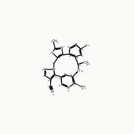 Cc1nc2c(s1)Cn1ncc(C#N)c1-c1cnc(N)c(c1)OC(C)c1cc(F)ccc1-2